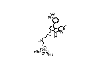 Cc1cnc2[nH]c3c(OCCCN(C)CCOP(=O)(OC(C)(C)C)OC(C)(C)C)ccc(-c4cccc(S(C)(=O)=O)c4)c3c2c1